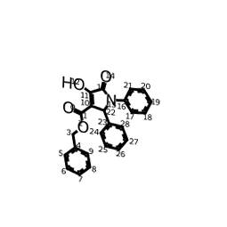 O=C(OCc1ccccc1)C1=C(O)C(=O)N(c2ccccc2)C1c1ccccc1